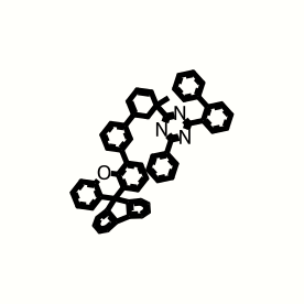 CC1(c2nc(-c3ccccc3)nc(-c3ccccc3-c3ccccc3)n2)C=CC=C(c2cccc(-c3cccc4c3Oc3ccccc3C43c4ccccc4-c4ccccc43)c2)C1